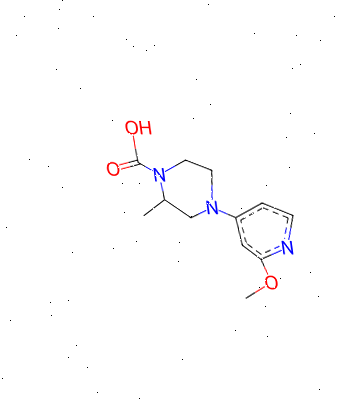 COc1cc(N2CCN(C(=O)O)C(C)C2)ccn1